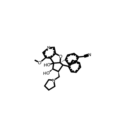 COc1cncc2c1C1(O)[C@H](O)[C@H](CN3CCCC3)C(c3ccccc3)[C@]1(c1ccc(C#N)cc1)O2